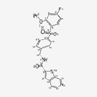 CC(C)Oc1cc(F)ccc1S(=O)(=O)c1ccc(CNC(=O)c2cc3ccncc3s2)cc1